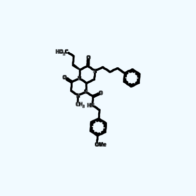 COc1ccc(CNC(=O)N2C3CN(CCCc4ccccc4)C(=O)[C@H](CCC(=O)O)N3C(=O)CN2C)cc1